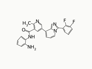 Cc1ncc(-c2cccn3c(-c4cccc(F)c4F)ncc23)cc1C(=O)Nc1ccccc1N